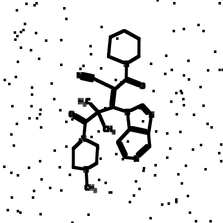 CN1CCN(C(=O)C(C)(C)C(=C(C#N)C(=O)N2CCCCC2)n2cnc3cnccc32)CC1